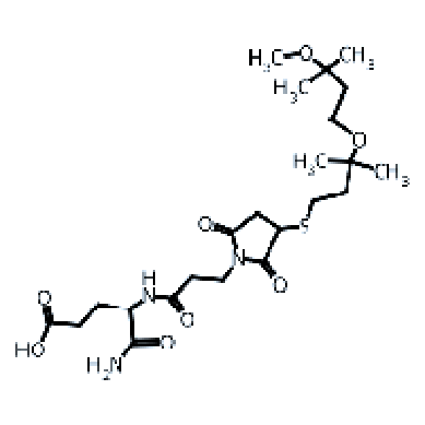 COC(C)(C)CCOC(C)(C)CCSC1CC(=O)N(CCC(=O)N[C@H](CCC(=O)O)C(N)=O)C1=O